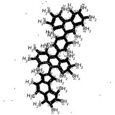 BC1=c2c(B)c(B)c3c(B)c(B)c(B)c(B)c3c2=C(B)C1c1c2c(B)c(B)c(B)c(B)c2c(-c2c(B)c(B)c(-c3c(B)c4c(B)c(B)c(B)c(B)c4c4c(B)c(B)c(B)c(B)c34)c(B)c2B)c2c(B)c(B)c(B)c(B)c12